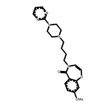 COc1ccc2c(c1)OC=CN(CCCCN1CCN(c3ncccn3)CC1)C2=O